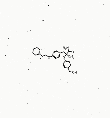 CC(Cc1ccc(OCCN2CCCCC2)cc1)(SC1=CCC(CO)C=C1)C(N)=O